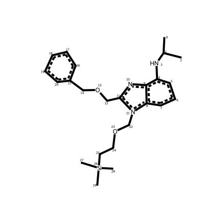 CC(C)Nc1cccc2c1nc(COCc1ccccc1)n2COCC[Si](C)(C)C